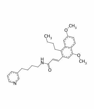 CCCCc1c(C=CC(=O)NCCCCc2cccnc2)cc(OC)c2ccc(OC)cc12